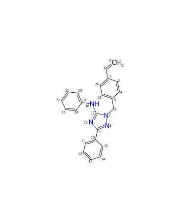 C=Cc1ccc(Cn2nc(-c3ccccc3)nc2Nc2ccccc2)cc1